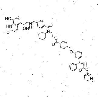 O=C(N[C@@H](c1ccccc1)c1cccc(OCc2ccc(C(=O)OCCN(C(=O)c3ccc(CNCC(O)c4ccc(O)c5[nH]c(=O)ccc45)cc3)C3CCCCC3)cc2)c1)OC1CN2CCC1CC2